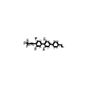 C=Cc1ccc(-c2cc(F)c(-c3cc(F)c(C#CC(F)(F)F)c(F)c3)c(F)c2)cc1